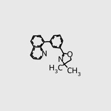 CC1(C)COC(c2cccc(-c3cccc4cccnc34)c2)=N1